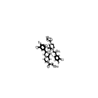 CC(C)(C)OC(=O)N1CCN(CC(O)c2ccc(F)c(Cl)c2)C(C)(CO)C1.CC(C)(C)OC(=O)N1CCN2CC(c3ccc(F)c(Cl)c3)OCC2C1